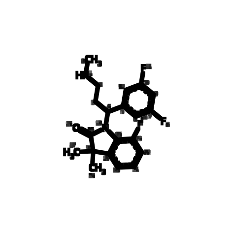 CNCCC(c1cc(F)cc(F)c1)N1C(=O)C(C)(C)c2cccc(F)c21